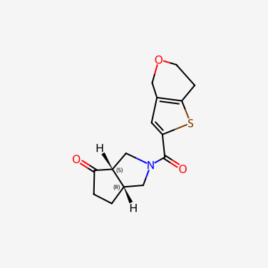 O=C1CC[C@H]2CN(C(=O)c3cc4c(s3)CCOC4)C[C@@H]12